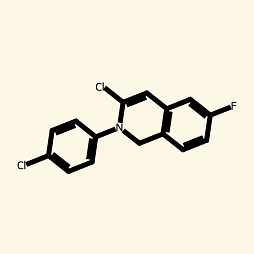 Fc1ccc2c(c1)C=C(Cl)N(c1ccc(Cl)cc1)C2